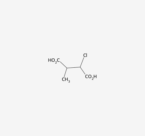 CC(C(=O)O)C(Cl)C(=O)O